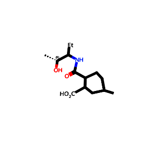 CCC(NC(=O)C1CCC(C)CC1C(=O)O)[C@@H](C)O